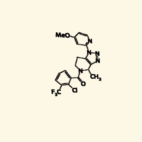 COc1ccnc(-n2nnc3c2CCN(C(=O)c2cccc(C(F)(F)F)c2Cl)C3C)c1